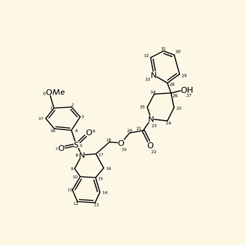 COc1ccc(S(=O)(=O)N2Cc3ccccc3CC2COCC(=O)N2CCC(O)(c3ccccn3)CC2)cc1